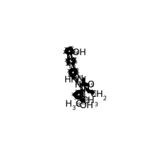 C=CCn1c(=O)c2cnc(Nc3ccc(N4CCN(C5CCCC5O)CC4)cc3)nc2n1-c1cccc(C(C)(C)O)n1